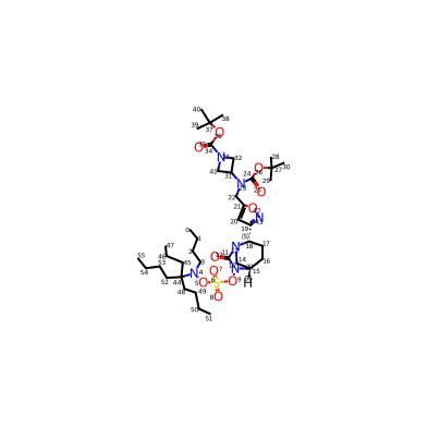 CCCCN(OS(=O)(=O)ON1C(=O)N2C[C@@H]1CC[C@H]2c1cc(CN(C(=O)OC(C)(C)C)C2CN(C(=O)OC(C)(C)C)C2)on1)C(CCC)(CCCC)CCCC